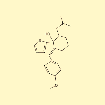 COc1ccc(C=C2CCCC(CN(C)C)C2(O)c2cccs2)cc1